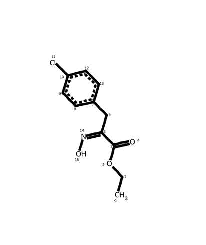 CCOC(=O)C(Cc1ccc(Cl)cc1)=NO